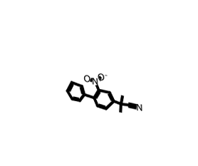 CC(C)(C#N)c1ccc(-c2ccccc2)c([N+](=O)[O-])c1